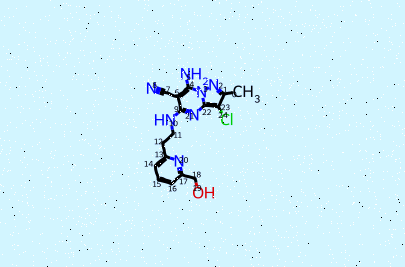 Cc1nn2c(N)c(C#N)c(NCCc3cccc(CO)n3)nc2c1Cl